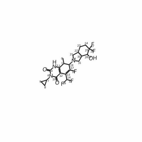 CC1c2[nH]c(=O)n(C3CC3)c(=O)c2C(C(F)F)=C(F)C1N1CC2CCC(F)(F)C(O)C2C1